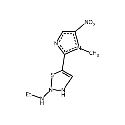 CCNN1NC=C(c2ncc([N+](=O)[O-])n2C)S1